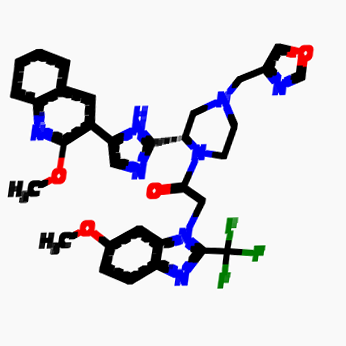 COc1ccc2nc(C(F)(F)F)n(CC(=O)N3CCN(Cc4cocn4)C[C@H]3c3ncc(-c4cc5ccccc5nc4OC)[nH]3)c2c1